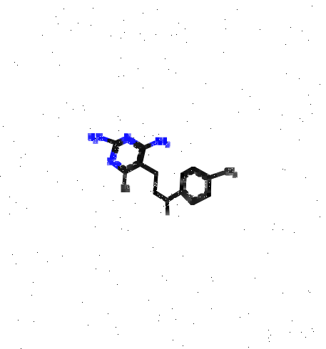 CCc1nc(N)nc(N)c1CCC(C)c1ccc(C(F)(F)F)cc1